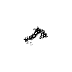 CC(C)C1=C2[C@H]3CC[C@@H]4[C@@]5(C)CC[C@H](OC(=O)CC(C)(C)C(=O)O)C(C)(C)[C@@H]5CC[C@@]4(C)[C@]3(C)CC[C@@]2(c2nnc(-c3ccc(Cl)cc3)n2CCN)CC1=O